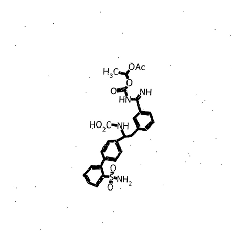 CC(=O)OC(C)OC(=O)NC(=N)c1cccc(CC(NC(=O)O)c2ccc(-c3ccccc3S(N)(=O)=O)cc2)c1